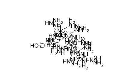 N=C(N)NCCC[C@H](NC(=O)[C@H](CCCNC(=N)N)NC(=O)[C@H](CCCNC(=N)N)NC(=O)[C@H](CCCNC(=N)N)NC(=O)[C@H](CCC(N)=O)NC(=O)[C@H](CCCNC(=N)N)NC(=O)[C@H](CCCCN)NC(=O)[C@H](CCCCN)NC(=O)[C@H](CCCNC(=N)N)NC(=O)CNC(=O)[C@@H](N)Cc1ccc(O)cc1)C(N)=O